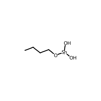 CCCC[O][Sn]([OH])[OH]